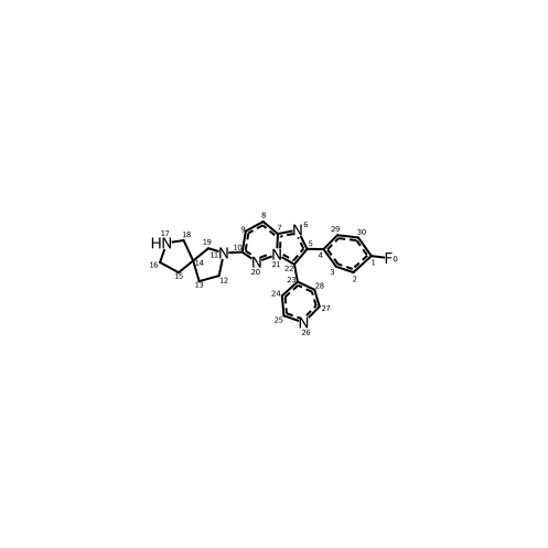 Fc1ccc(-c2nc3ccc(N4CCC5(CCNC5)C4)nn3c2-c2ccncc2)cc1